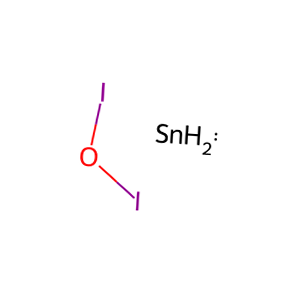 IOI.[SnH2]